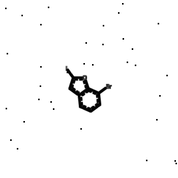 Brc1cccc2cc(I)oc12